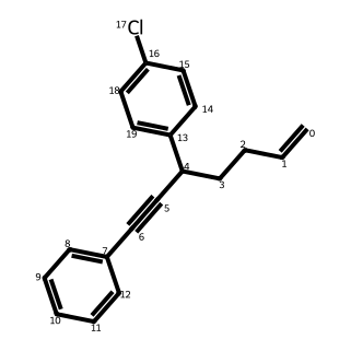 C=CCCC(C#Cc1ccccc1)c1ccc(Cl)cc1